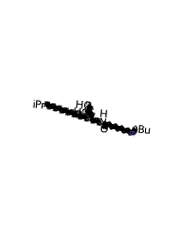 CCCC/C=C\CCCCCCCC(=O)NCCCN(CCCOCCCCCCCCCCC(C)C)CC(O)CO